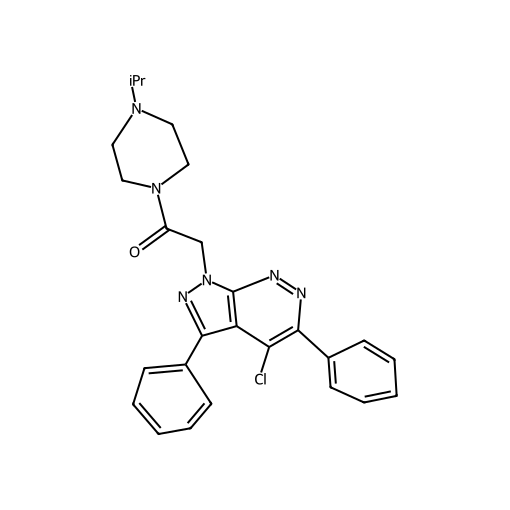 CC(C)N1CCN(C(=O)Cn2nc(-c3ccccc3)c3c(Cl)c(-c4ccccc4)nnc32)CC1